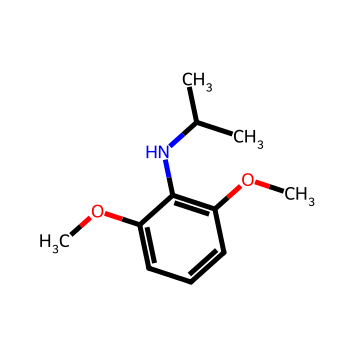 COc1cccc(OC)c1NC(C)C